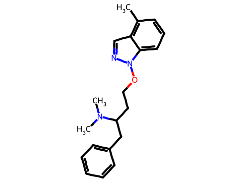 Cc1cccc2c1cnn2OCCC(Cc1ccccc1)N(C)C